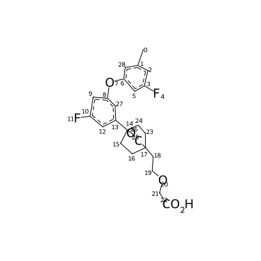 Cc1cc(F)cc(Oc2cc(F)cc(C34CCC(CCOCC(=O)O)(CC3)CO4)c2)c1